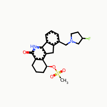 CS(=O)(=O)O[C@H]1CCCc2c1c1c([nH]c2=O)-c2cccc(CN3CCC(F)C3)c2C1